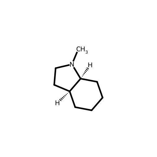 CN1CC[C@@H]2CCCC[C@@H]21